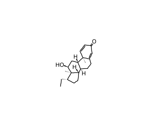 CC[C@H]1CC[C@H]2[C@@H]3CCC4=CC(=O)C=C[C@]4(C)[C@H]3C[C@H](O)[C@]12C